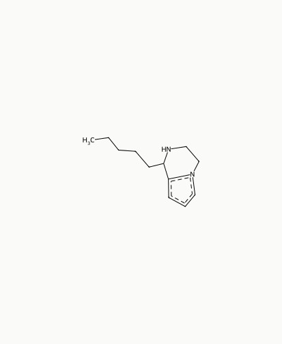 CCCCCC1NCCn2cccc21